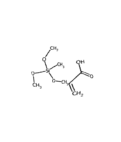 C=CC(=O)O.CO[Si](C)(OC)OC